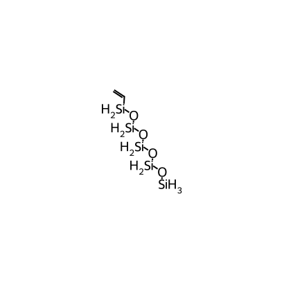 C=C[SiH2]O[SiH2]O[SiH2]O[SiH2]O[SiH3]